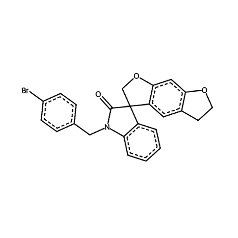 O=C1N(Cc2ccc(Br)cc2)c2ccccc2C12COc1cc3c(cc12)CCO3